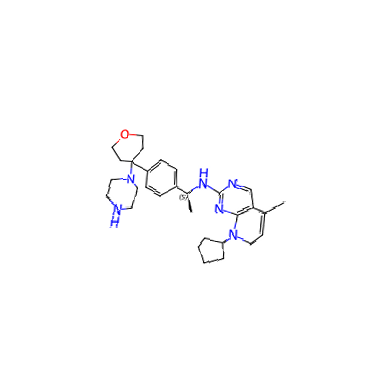 CC1=CCN(C2CCCC2)c2nc(N[C@@H](C)c3ccc(C4(N5CCNCC5)CCOCC4)cc3)ncc21